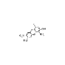 O=[N+]([O-])c1cc(Cc2cc([N+](=O)[O-])c(O)cc2F)c(F)cc1O